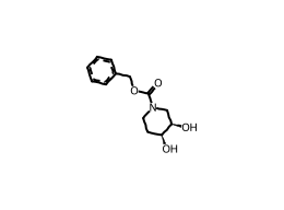 O=C(OCc1ccccc1)N1CC[C@H](O)[C@H](O)C1